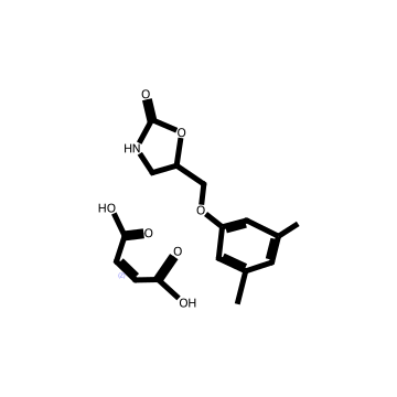 Cc1cc(C)cc(OCC2CNC(=O)O2)c1.O=C(O)/C=C\C(=O)O